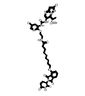 CO[C@@H](C)c1c(NC(=O)Nc2cc(Cl)cnc2OCCNC(=O)CCCCCCCCOc2cccc3c2C(=O)N(C2CCC(=O)NC2=O)C3=O)cnc2cc(Cl)nn12